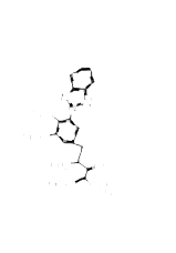 C=C(C)C(=O)C(O)Cc1cc(C)c(O)c(-n2nc3ccccc3n2)c1